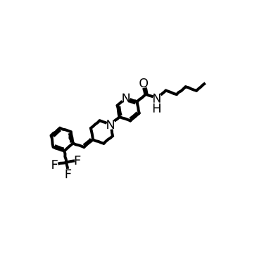 CCCCCNC(=O)c1ccc(N2CCC(=Cc3ccccc3C(F)(F)F)CC2)cn1